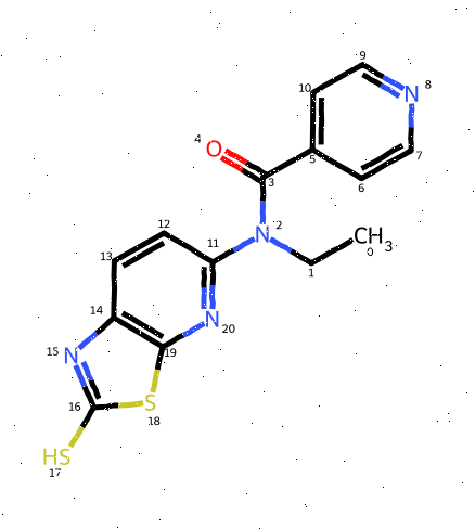 CCN(C(=O)c1ccncc1)c1ccc2nc(S)sc2n1